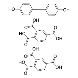 CC(C)(c1ccc(O)cc1)c1ccc(O)cc1.O=C(O)c1ccc(C(=O)O)c(C(=O)O)c1.O=C(O)c1ccc(C(=O)O)c(C(=O)O)c1